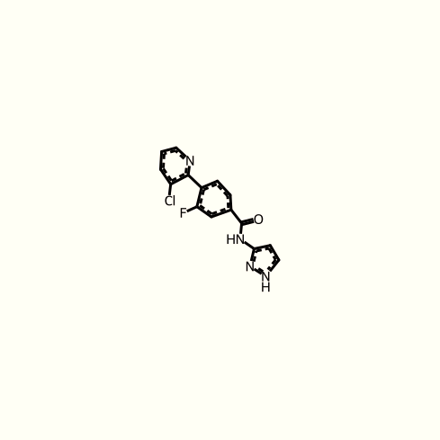 O=C(Nc1cc[nH]n1)c1ccc(-c2ncccc2Cl)c(F)c1